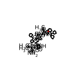 CON=C(C(=O)NC1C(=O)N2C(C(=O)OC(c3ccccc3)c3ccccc3)=C(C=CSc3n[nH]c(=O)c(=O)n3CCN(C(=O)CN)C(=O)OC(C)(C)C)CSC12)c1csc(NC(c2ccccc2)(c2ccccc2)c2ccccc2)n1